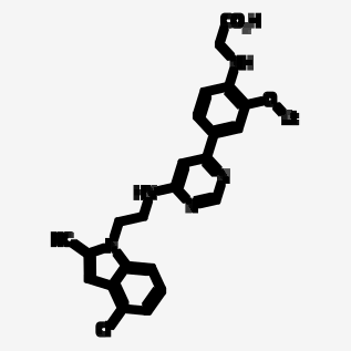 CCOc1cc(-c2cc(NCCn3c(C#N)cc4c(Cl)cccc43)ncn2)ccc1NCC(=O)O